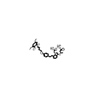 CC(CC(=O)O)Sc1cn(CC(=O)O)c2c(C=Cc3ccc(OCCCCOc4cc(F)cc(F)c4Cl)cc3)cccc12